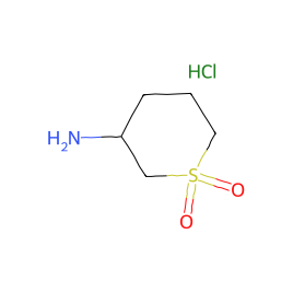 Cl.NC1CCCS(=O)(=O)C1